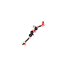 C=COC(=O)OCCCCOc1ccc(C(=O)Oc2ccc3c(c2)C(C)c2cc(OCCCCCCOC(=O)C(=C)F)ccc2-3)cc1CC